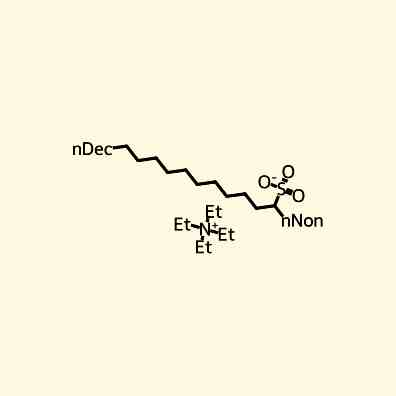 CCCCCCCCCCCCCCCCCCCCC(CCCCCCCCC)S(=O)(=O)[O-].CC[N+](CC)(CC)CC